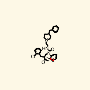 O=C1C[C@@]23CCSC=C2C=CC=C3N(C(=O)NCCN2CCC(Cc3ccccc3)CC2)CC1Cc1ccccc1Cl